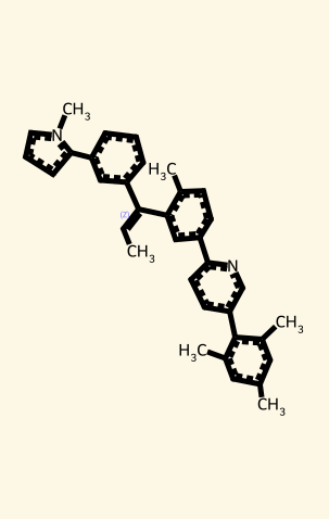 C/C=C(/c1cccc(-c2cccn2C)c1)c1cc(-c2ccc(-c3c(C)cc(C)cc3C)cn2)ccc1C